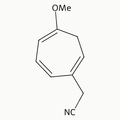 COC1=CC=CC(CC#N)=CC1